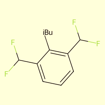 CCC(C)c1c(C(F)F)cccc1C(F)F